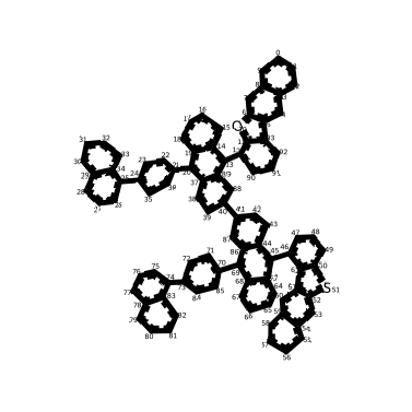 c1ccc2cc3c(cc2c1)oc1c(-c2c4ccccc4c(-c4ccc(-c5cccc6ccccc56)cc4)c4ccc(-c5ccc6c(-c7cccc8sc9cc%10ccccc%10cc9c78)c7ccccc7c(-c7ccc(-c8cccc9ccccc89)cc7)c6c5)cc24)cccc13